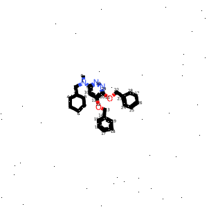 CN(CC1CCCCC1)c1cc(OCc2ccccc2)c(OCC2=CC=CCC2)nn1